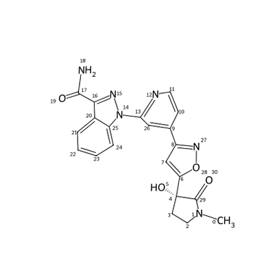 CN1CC[C@@](O)(c2cc(-c3ccnc(-n4nc(C(N)=O)c5ccccc54)c3)no2)C1=O